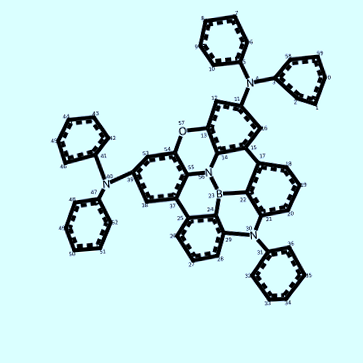 c1ccc(N(c2ccccc2)c2cc3c4c(c2)-c2cccc5c2B2c6c(cccc6N5c5ccccc5)-c5cc(N(c6ccccc6)c6ccccc6)cc(c5N24)O3)cc1